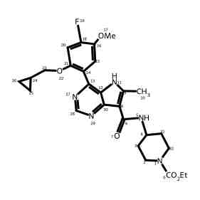 CCOC(=O)N1CCC(NC(=O)c2c(C)[nH]c3c(-c4cc(OC)c(F)cc4OCC4CC4)ncnc23)CC1